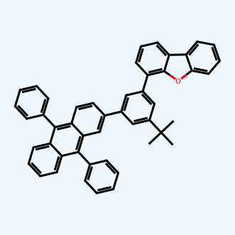 CC(C)(C)c1cc(-c2ccc3c(-c4ccccc4)c4ccccc4c(-c4ccccc4)c3c2)cc(-c2cccc3c2oc2ccccc23)c1